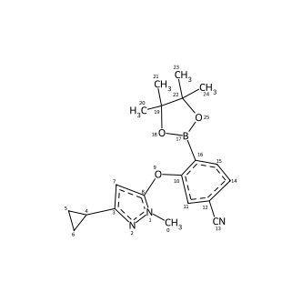 Cn1nc(C2CC2)cc1Oc1cc(C#N)ccc1B1OC(C)(C)C(C)(C)O1